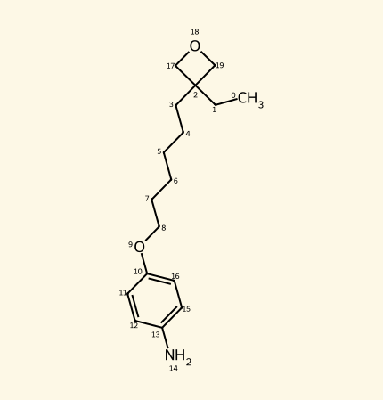 CCC1(CCCCCCOc2ccc(N)cc2)COC1